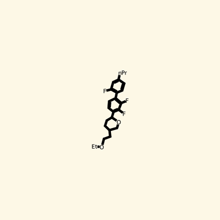 CCCc1ccc(-c2ccc(C3CCC(CCOCC)CO3)c(F)c2F)c(F)c1